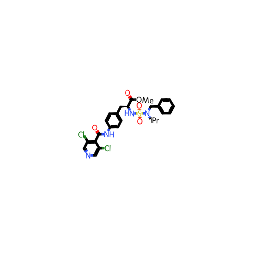 COC(=O)[C@H](Cc1ccc(NC(=O)c2c(Cl)cncc2Cl)cc1)NS(=O)(=O)N(Cc1ccccc1)C(C)C